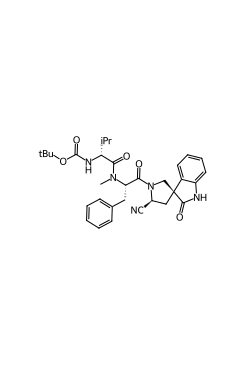 CC(C)[C@@H](NC(=O)OC(C)(C)C)C(=O)N(C)[C@@H](Cc1ccccc1)C(=O)N1C[C@]2(C[C@H]1C#N)C(=O)Nc1ccccc12